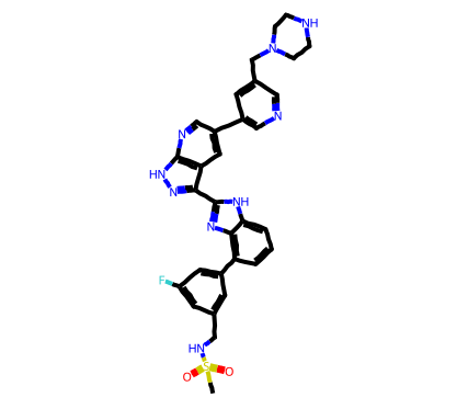 CS(=O)(=O)NCc1cc(F)cc(-c2cccc3[nH]c(-c4n[nH]c5ncc(-c6cncc(CN7CCNCC7)c6)cc45)nc23)c1